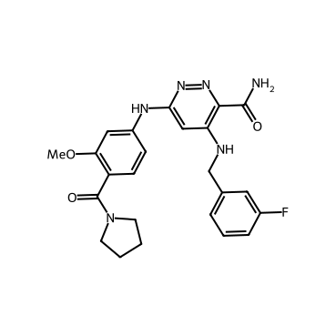 COc1cc(Nc2cc(NCc3cccc(F)c3)c(C(N)=O)nn2)ccc1C(=O)N1CCCC1